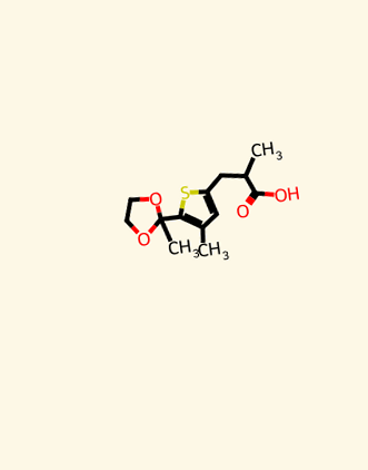 Cc1cc(CC(C)C(=O)O)sc1C1(C)OCCO1